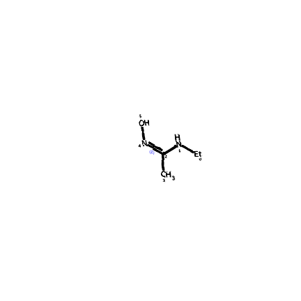 CCN/C(C)=N\O